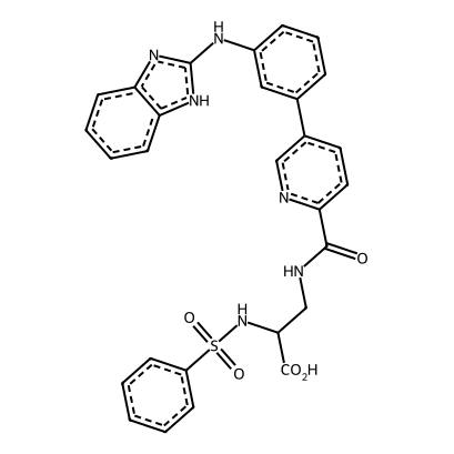 O=C(NCC(NS(=O)(=O)c1ccccc1)C(=O)O)c1ccc(-c2cccc(Nc3nc4ccccc4[nH]3)c2)cn1